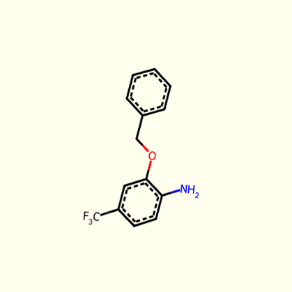 Nc1ccc(C(F)(F)F)cc1OCc1ccccc1